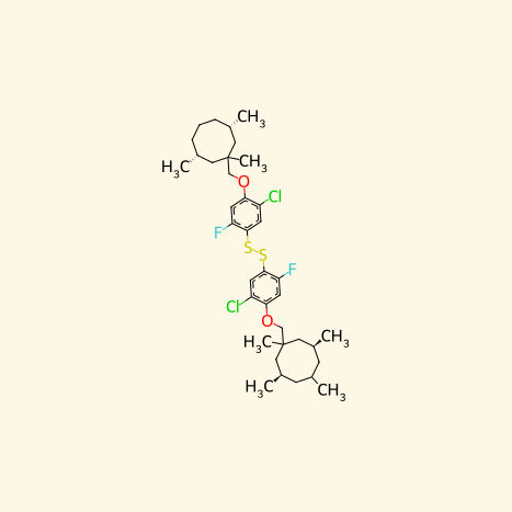 CC1C[C@@H](C)CC(C)(COc2cc(F)c(SSc3cc(Cl)c(OCC4(C)C[C@H](C)CCC[C@H](C)C4)cc3F)cc2Cl)C[C@@H](C)C1